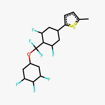 Cc1ccc(C2CC(F)C(C(F)(F)OC3CC(F)C(F)C(F)C3)C(F)C2)s1